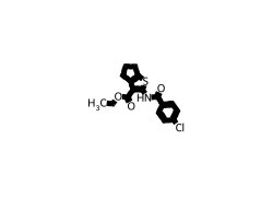 CCOC(=O)c1c(NC(=O)c2ccc(Cl)cc2)sc2c1CCC2